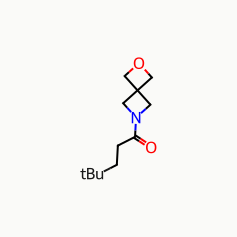 CC(C)(C)CCC(=O)N1CC2(COC2)C1